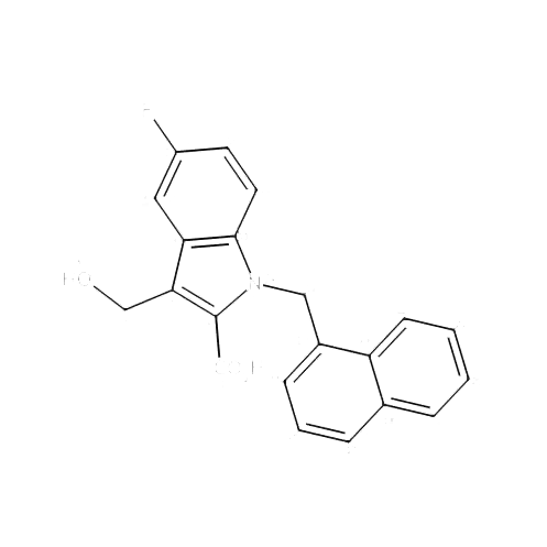 O=C(O)c1c(CO)c2cc(F)ccc2n1Cc1cccc2ccccc12